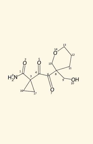 NC(=O)C1(C(=O)C(=O)C2(CO)CCCOC2)CC1